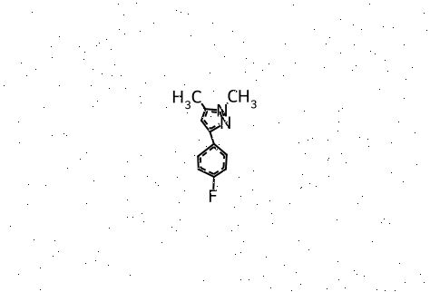 Cc1cc(-c2ccc(F)cc2)nn1C